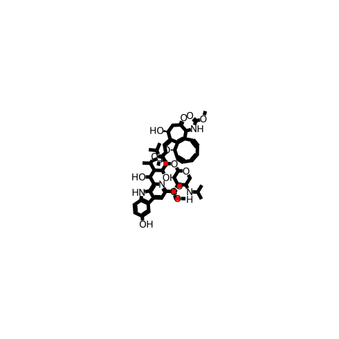 COC(=O)NC1C(=O)C[C@H](O)/C(=C/CS(C)(C)(=S)C(C)C)C2=C1C#C/C=C\C#C[C@@H]2OC1OC(C)C(C(O)c2nc(C(=O)OC)cc3c2[nH]c2ccc(O)cc23)C(O)C1OC1CC(OC)C(NC(C)C)CO1